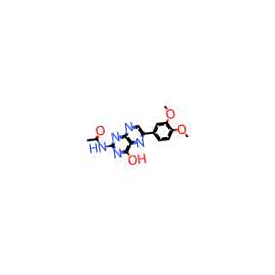 COc1ccc(-c2cnc3nc(NC(C)=O)nc(O)c3n2)cc1OC